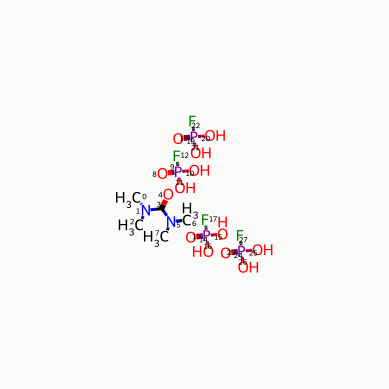 CN(C)C(=O)N(C)C.O=P(O)(O)F.O=P(O)(O)F.O=P(O)(O)F.O=P(O)(O)F